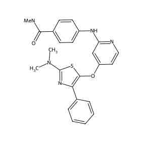 CNC(=O)c1ccc(Nc2cc(Oc3sc(N(C)C)nc3-c3ccccc3)ccn2)cc1